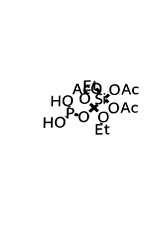 CCOC(OCC)(OP(O)O)[Si](OC(C)=O)(OC(C)=O)OC(C)=O